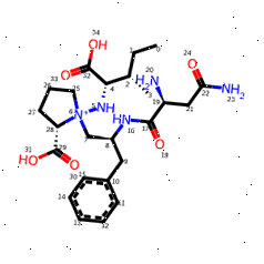 CC[C@H](C)[C@H](N[N+]1(C[C@H](Cc2ccccc2)NC(=O)[C@@H](N)CC(N)=O)CCC[C@H]1C(=O)O)C(=O)O